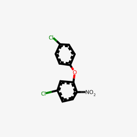 O=[N+]([O-])c1ccc(Cl)cc1Oc1ccc(Cl)cc1